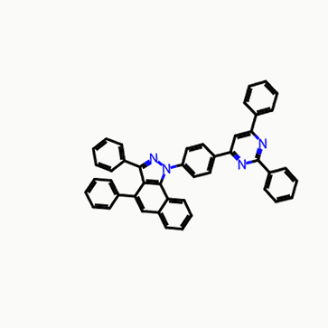 c1ccc(-c2cc(-c3ccc(-n4nc(-c5ccccc5)c5c(-c6ccccc6)cc6ccccc6c54)cc3)nc(-c3ccccc3)n2)cc1